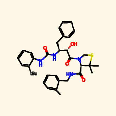 Cc1ccccc1CNC(=O)[C@H]1N(C(=O)[C@@H](O)[C@H](Cc2ccccc2)NC(=O)Nc2ccccc2C(C)(C)C)CSC1(C)C